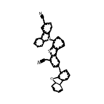 N#Cc1ccc2c(c1)c1ccccc1n2-c1cccc2c1sc1c(C#N)cc(-c3cccc4c3OC3C=CC=CC43)cc12